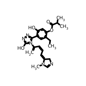 C=C(/C=C\C=C1/CN=CN1C)n1c(O)nnc1-c1cc(CC)c(OC(=O)C(C)C)cc1O